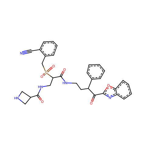 N#Cc1ccccc1CS(=O)(=O)C(CNC(=O)C1CNC1)C(=O)NCCC(C(=O)c1nc2ccccc2o1)c1ccccc1